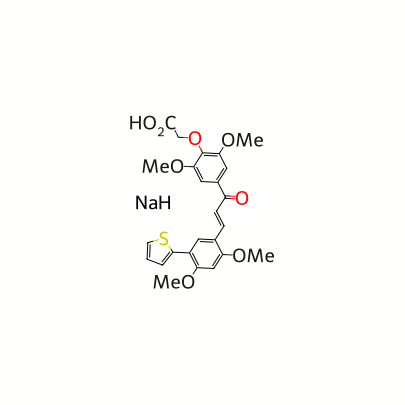 COc1cc(OC)c(-c2cccs2)cc1/C=C/C(=O)c1cc(OC)c(OCC(=O)O)c(OC)c1.[NaH]